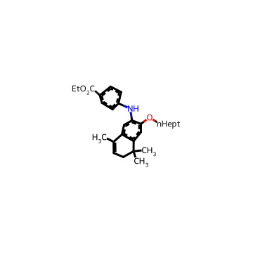 CCCCCCCOc1cc2c(cc1Nc1ccc(C(=O)OCC)cc1)C(C)=CCC2(C)C